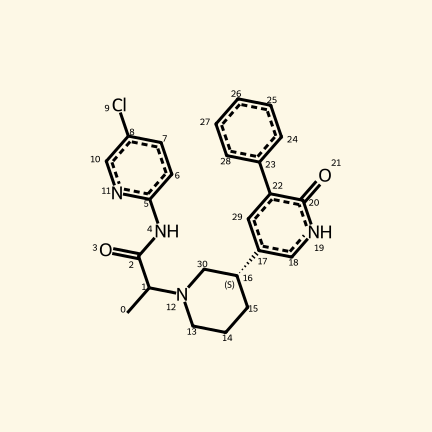 CC(C(=O)Nc1ccc(Cl)cn1)N1CCC[C@@H](c2c[nH]c(=O)c(-c3ccccc3)c2)C1